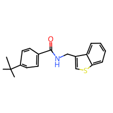 CC(C)(C)c1ccc(C(=O)NCc2csc3ccccc23)cc1